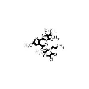 C=CCN(CC=C)C(=O)C(Cl)Cl.Cc1cnc(C2=NC(C)(C(C)C)C(=O)N2)c(C(=O)O)c1